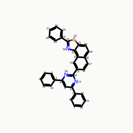 c1ccc(-c2cc(-c3ccccc3)nc(-c3ccc4ccc5sc(-c6ccccc6)nc5c4c3)n2)cc1